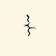 C=CCOC(=O)C(N)CCI